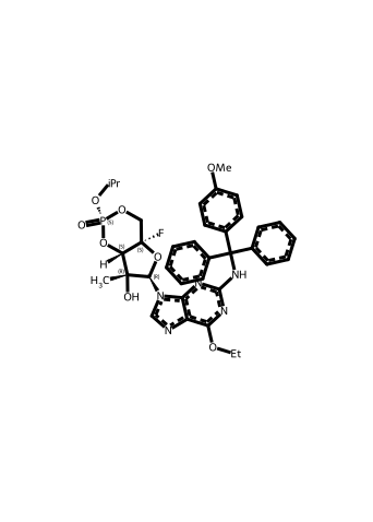 CCOc1nc(NC(c2ccccc2)(c2ccccc2)c2ccc(OC)cc2)nc2c1ncn2[C@@H]1O[C@]2(F)CO[P@@](=O)(OC(C)C)O[C@H]2[C@@]1(C)O